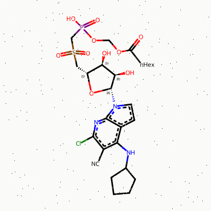 CCCCCCC(=O)OCOP(=O)(O)CS(=O)(=O)C[C@H]1O[C@@H](n2ccc3c(NC4CCCC4)c(C#N)c(Cl)nc32)[C@H](O)[C@@H]1O